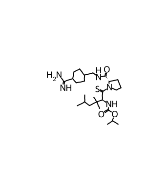 CC(C)CC(C)(C)[C@H](NC(=O)OC(C)C)C(=S)N1CCC[C@H]1C(=O)NCC1CCC(C(=N)N)CC1